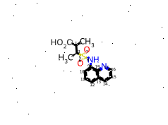 CC(C(=O)O)[C@H](C)S(=O)(=O)Nc1cccc2cccnc12